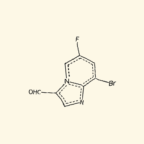 O=Cc1cnc2c(Br)cc(F)cn12